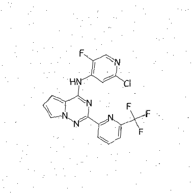 Fc1cnc(Cl)cc1Nc1nc(-c2cccc(C(F)(F)F)n2)nn2cccc12